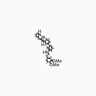 COc1ccc(CCNc2nccc(-c3cccc(NC(=O)CC4CCCN4)c3)n2)cc1OC